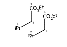 CCOC(=O)CC(C)C.CCOC(=O)CC(C)C